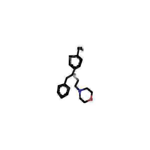 Cc1ccc([C@H](CCN2CCOCC2)Cc2ccccc2)cc1